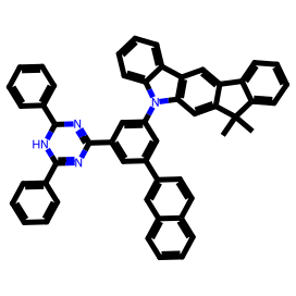 CC1(C)c2ccccc2-c2cc3c4ccccc4n(-c4cc(C5=NC(c6ccccc6)NC(c6ccccc6)=N5)cc(-c5ccc6ccccc6c5)c4)c3cc21